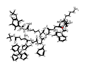 Cc1c(C)c(S(=O)(=O)NC(=N)NCCC[C@H](NC(=O)[C@H](Cc2ccccc2)NC(=O)[C@H](Cc2cn(C(c3ccccc3)(c3ccccc3)c3ccccc3)cn2)NC(=O)[C@@H](N)CCC(=O)OC(C)(C)C)C(=O)N[C@@H](Cc2cn(C(=O)OC(C)(C)C)c3ccccc23)C(=O)NCC(=O)N[C@@H](CCCCN)C(=O)O)c(C)c2c1OC(C)(C)C2